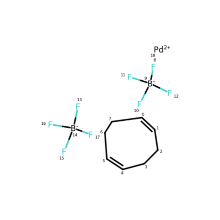 C1=CCCC=CCC1.F[B-](F)(F)F.F[B-](F)(F)F.[Pd+2]